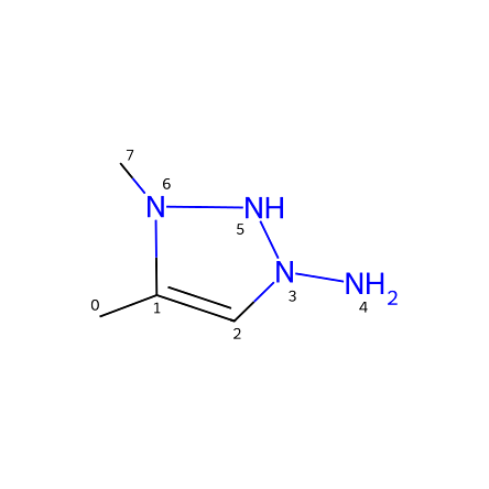 CC1=CN(N)NN1C